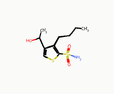 CCCCc1c(C(C)O)csc1S(N)(=O)=O